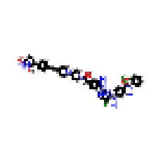 O=C1CCC(c2ccc(C#CC3CCN(C4CCN(C(=O)Cc5ccc(Nc6ncc(F)c(Nc7ccc(C(=O)Nc8ccccc8Cl)cc7)n6)cc5)CC4)CC3)cc2)C(=O)N1